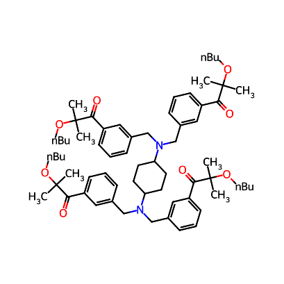 CCCCOC(C)(C)C(=O)c1cccc(CN(Cc2cccc(C(=O)C(C)(C)OCCCC)c2)C2CCC(N(Cc3cccc(C(=O)C(C)(C)OCCCC)c3)Cc3cccc(C(=O)C(C)(C)OCCCC)c3)CC2)c1